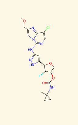 COCc1cn2c(Nc3cc([C@H]4OC[C@@H](OC(=O)NC5(C)CC5)[C@H]4F)[nH]n3)ncc(Cl)c2n1